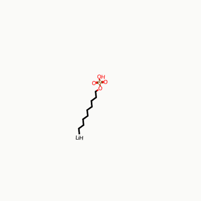 CCCCCCCCCCOS(=O)(=O)O.[LiH]